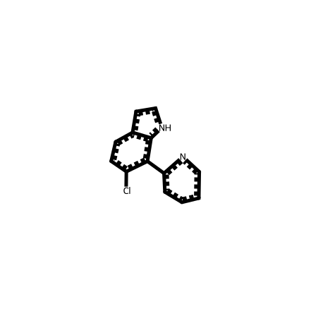 Clc1ccc2cc[nH]c2c1-c1ccccn1